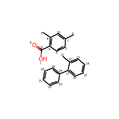 Cc1ccc(C(=O)O)c(C)c1.Cc1ccccc1-c1ccccc1